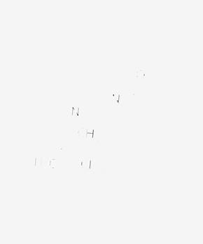 CC(C)(C)c1ccccc1N1CCN(C(=O)c2ccccc2)CC1